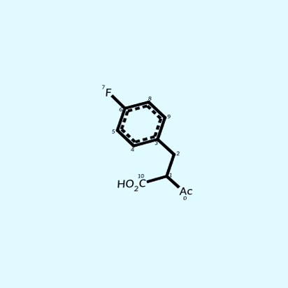 CC(=O)C(Cc1ccc(F)cc1)C(=O)O